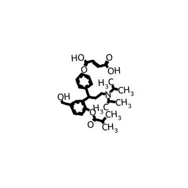 CC(C)C(=O)Oc1ccc(CO)cc1C(CCN(C(C)C)C(C)C)c1ccccc1.O=C(O)/C=C/C(=O)O